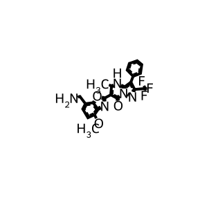 COc1ccc(CN)c2oc(-c3c(C)[nH]c4c(-c5ccccc5)c(C(F)(F)F)nn4c3=O)nc12